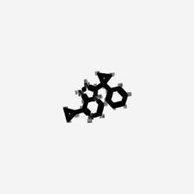 c1ccc(C2(c3nnc4c(C5CC5)nccn34)CC2)cc1